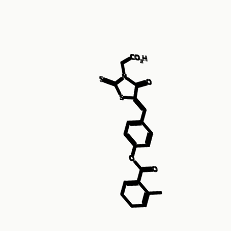 CC1=CCCC=C1C(=O)Oc1ccc(/C=C2\SC(=S)N(CC(=O)O)C2=O)cc1